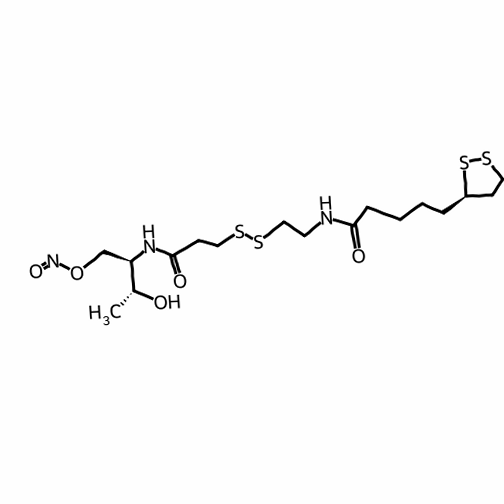 C[C@@H](O)[C@@H](CON=O)NC(=O)CCSSCCNC(=O)CCCC[C@@H]1CCSS1